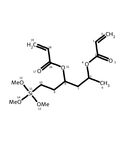 C=CC(=O)OC(C)CC(CC[Si](OC)(OC)OC)OC(=O)C=C